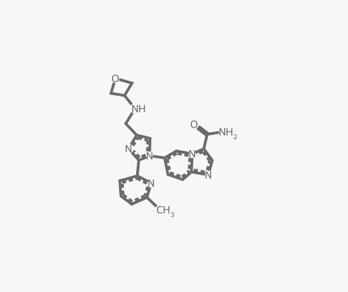 Cc1cccc(-c2nc(CNC3COC3)cn2-c2ccc3ncc(C(N)=O)n3c2)n1